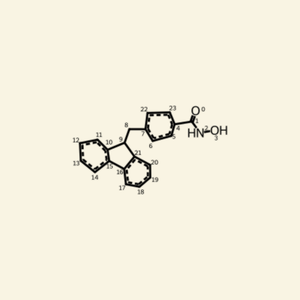 O=C(NO)c1ccc(CC2c3ccccc3-c3ccccc32)cc1